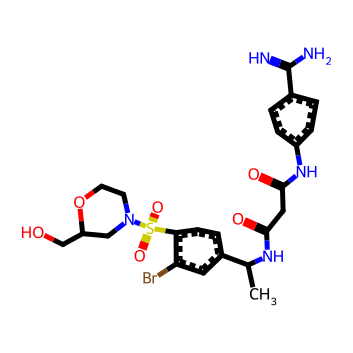 CC(NC(=O)CC(=O)Nc1ccc(C(=N)N)cc1)c1ccc(S(=O)(=O)N2CCOC(CO)C2)c(Br)c1